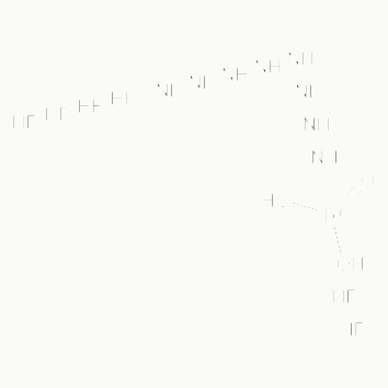 F.F.F.F.F.F.N.N.N.N.N.N.N.N.O=[Te](O)O